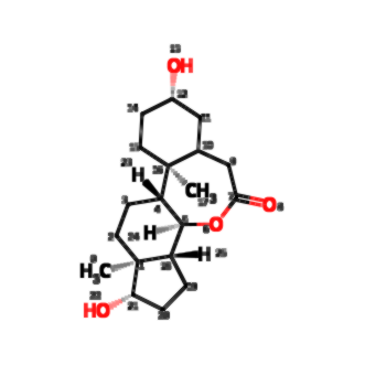 C[C@]12CC[C@H]3[C@@H](OC(=O)CC4C[C@@H](O)CC[C@@]43C)[C@@H]1CC[C@@H]2O